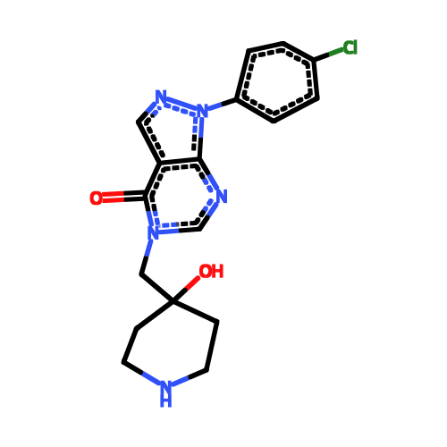 O=c1c2cnn(-c3ccc(Cl)cc3)c2ncn1CC1(O)CCNCC1